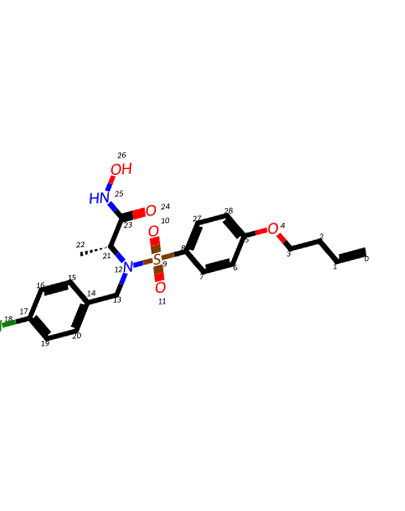 C=CCCOc1ccc(S(=O)(=O)N(Cc2ccc(Cl)cc2)[C@H](C)C(=O)NO)cc1